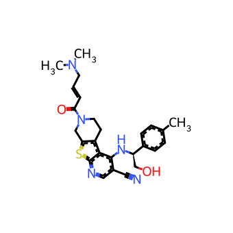 Cc1ccc([C@@H](CO)Nc2c(C#N)cnc3sc4c(c23)CCN(C(=O)/C=C/CN(C)C)C4)cc1